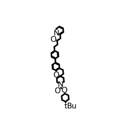 CC(C)(C)C1CCC(OC(=O)N2CCC3(CCc4cc(-c5ccc(CCC(=O)Cc6ccccn6)cc5)ccc4O3)CC2)CC1